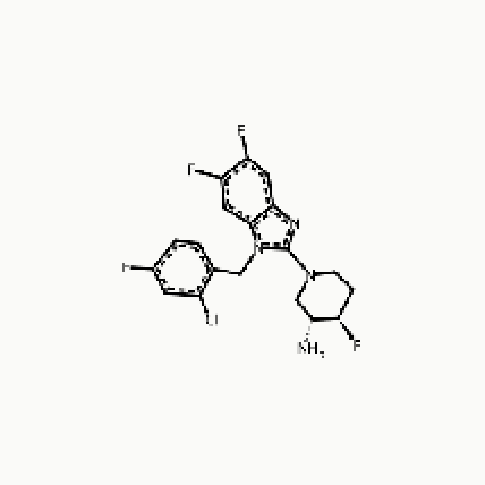 N[C@@H]1CN(c2nc3cc(F)c(F)cc3n2Cc2ccc(F)cc2Cl)CC[C@H]1F